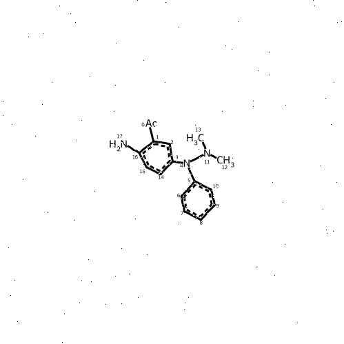 CC(=O)c1cc(N(c2ccccc2)N(C)C)ccc1N